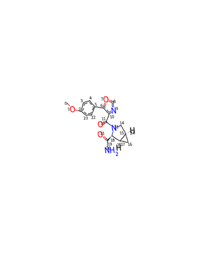 COc1ccc(-c2ocnc2C(=O)N2C[C@H]3C[C@H]3[C@H]2C(N)=O)cc1